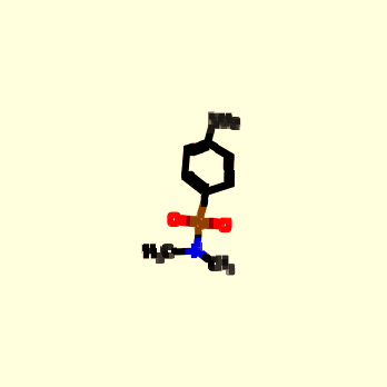 CNc1ccc(S(=O)(=O)N(C)C)cc1